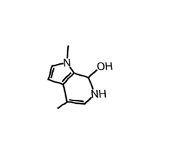 CC1=CNC(O)c2c1ccn2C